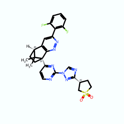 CC1(C)[C@H]2CC[C@]1(c1ccnc(-n3cnc([C@@H]4CCS(=O)(=O)C4)n3)n1)c1nnc(-c3c(F)cccc3F)cc12